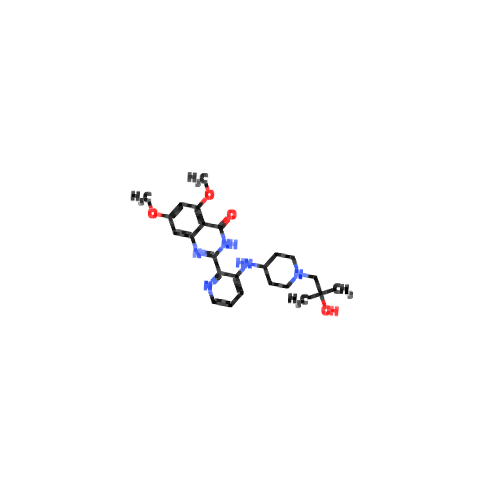 COc1cc(OC)c2c(=O)[nH]c(-c3ncccc3NC3CCN(CC(C)(C)O)CC3)nc2c1